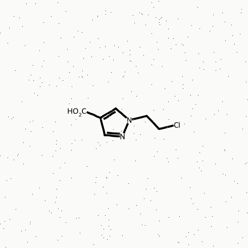 O=C(O)c1cnn(CCCl)c1